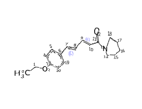 CCOc1ccc(/C=C/C=C/C(=O)N2CCCCC2)cc1